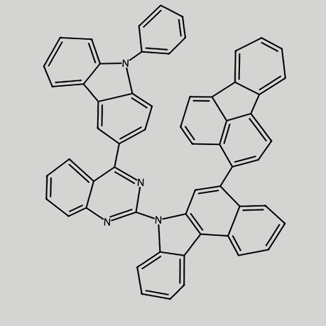 c1ccc(-n2c3ccccc3c3cc(-c4nc(-n5c6ccccc6c6c7ccccc7c(-c7ccc8c9c(cccc79)-c7ccccc7-8)cc65)nc5ccccc45)ccc32)cc1